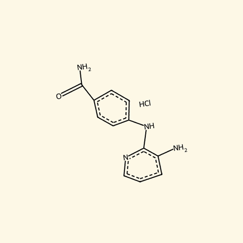 Cl.NC(=O)c1ccc(Nc2ncccc2N)cc1